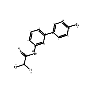 CCc1ccc(-c2cccc(NC(=O)C(Cl)Cl)c2)cc1